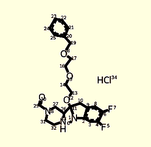 CN1c2cc(F)c(F)cc2CC1(OCCOCCOCc1ccccc1)C1CN(C=O)CCN1.Cl